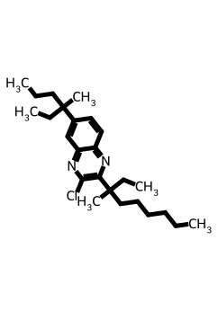 CCCCCCC(C)(CC)c1nc2ccc(C(C)(CC)CCC)cc2nc1Cl